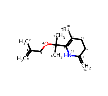 C=C(C)COC(C)(C)C1=C(C(C)(C)C)CCC(=C)N1